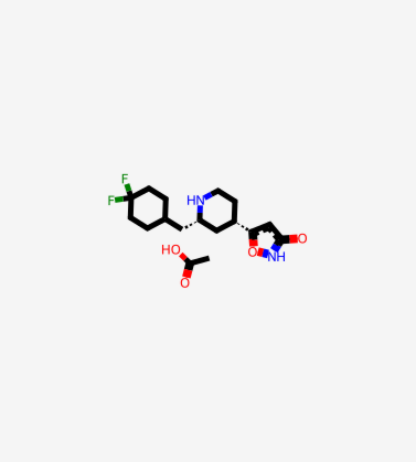 CC(=O)O.O=c1cc([C@H]2CCN[C@@H](CC3CCC(F)(F)CC3)C2)o[nH]1